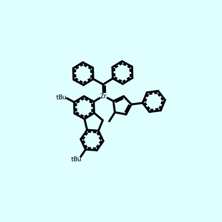 CC1C=C(c2ccccc2)C=[C]1[Zr](=[C](c1ccccc1)c1ccccc1)[c]1cc(C(C)(C)C)cc2c1Cc1ccc(C(C)(C)C)cc1-2